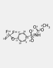 COC(=O)NS(=O)(=O)c1ccc(OC(F)(F)F)cc1